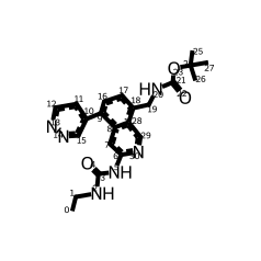 CCNC(=O)Nc1cc2c(-c3ccnnc3)ccc(CNC(=O)OC(C)(C)C)c2cn1